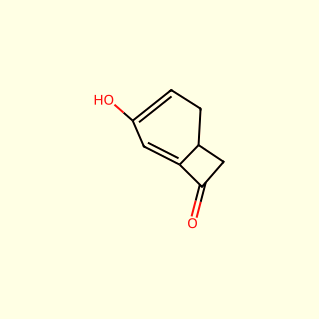 O=C1CC2CC=C(O)C=C12